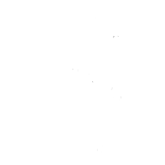 CCN(Oc1ccc(Cl)cc1Cl)C(=O)c1c(-c2ccc(CC(=O)O)cc2Cl)noc1-c1ccc(Cl)cc1